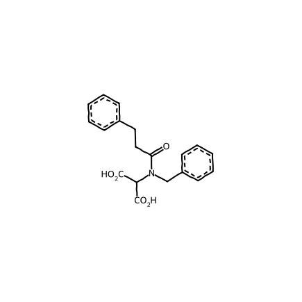 O=C(O)C(C(=O)O)N(Cc1ccccc1)C(=O)CCc1ccccc1